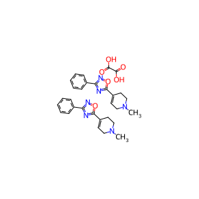 CN1CC=C(c2nc(-c3ccccc3)no2)CC1.CN1CC=C(c2nc(-c3ccccc3)no2)CC1.O=C(O)C(=O)O